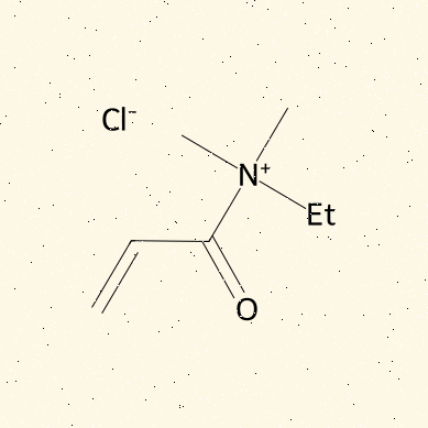 C=CC(=O)[N+](C)(C)CC.[Cl-]